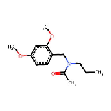 CCCN(Cc1ccc(OC)cc1OC)C(C)=O